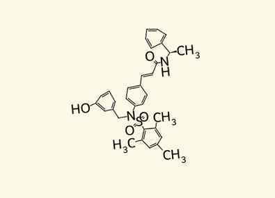 Cc1cc(C)c(S(=O)(=O)N(Cc2cccc(O)c2)c2ccc(C=CC(=O)N[C@H](C)c3ccccc3)cc2)c(C)c1